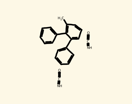 Cc1cccc(-c2ccccc2)c1-c1ccccc1.N=C=O.N=C=O